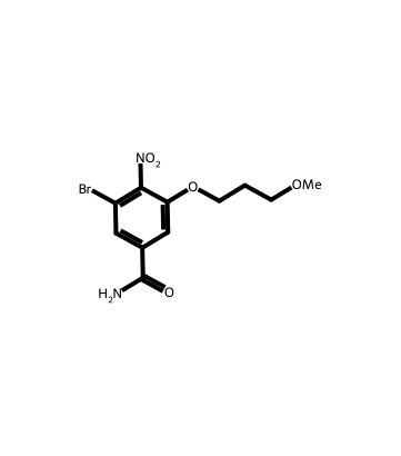 COCCCOc1cc(C(N)=O)cc(Br)c1[N+](=O)[O-]